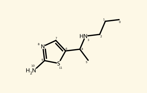 CCCNC(C)c1cnc(N)s1